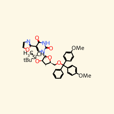 COc1ccc(C(OC[C@H]2[CH][C@@H](O[Si](C)(C)C(C)(C)C)[C@H](n3cc(-c4ncco4)c(=O)[nH]c3=O)O2)(c2ccccc2)c2ccc(OC)cc2)cc1